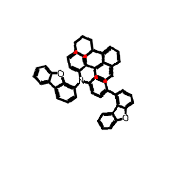 c1ccc(N(c2ccc(-c3cccc4oc5ccccc5c34)cc2)c2cccc3c2oc2ccccc23)c(-c2cccc3cccc(C4CCCCC4)c23)c1